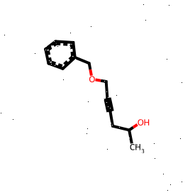 CC(O)CC#CCOCc1ccccc1